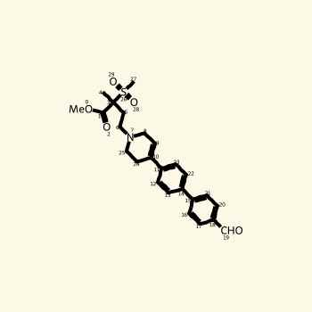 COC(=O)C(C)(CCN1CC=C(c2ccc(-c3ccc(C=O)cc3)cc2)CC1)S(C)(=O)=O